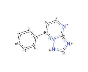 c1ccc(-c2ccnc3ncnn23)cc1